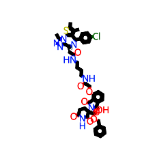 Cc1sc2c(c1C)C(c1ccc(Cl)cc1)=N[C@@H](CC(=O)NCCCCNC(=O)COc1cccc3c1C(=O)N([C@]1(C(=O)OCc4ccccc4)CCC(=O)NC1=O)C3O)c1nnc(C)n1-2